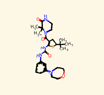 CC(C)(C)C1CC(C(=O)N2CCNC(=O)C2(C)C)=C(NC(=O)Nc2cccc(N3CCOCC3)c2)S1